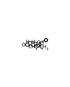 CC(OC1CC[C@H]2C3CC[C@H]4CC(=O)CCC4(C)C3CCC12C)C(=O)OCc1ccccc1